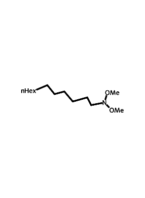 CCCCCCCCCCCCN(OC)OC